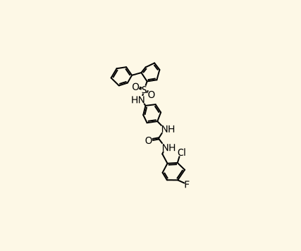 O=C(NCc1ccc(F)cc1Cl)Nc1ccc(NS(=O)(=O)c2ccccc2-c2ccccc2)cc1